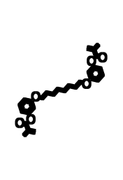 C=C(C)C(=O)Oc1cccc(OCCCCCCCCOc2cccc(OC(=O)C(=C)C)c2)c1